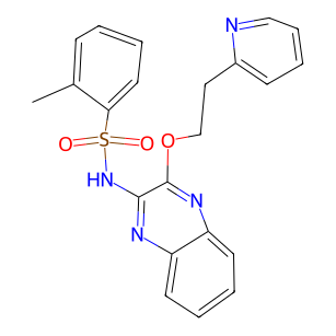 Cc1ccccc1S(=O)(=O)Nc1nc2ccccc2nc1OCCc1ccccn1